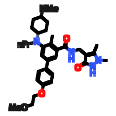 CCCN(c1cc(-c2ccc(OCCOC)cc2)cc(C(=O)NCc2c(C)n(C)[nH]c2=O)c1C)[C@H]1CC[C@H](NC)CC1